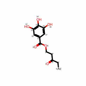 CC(=O)CC(=O)CCOC(=O)c1cc(O)c(O)c(O)c1